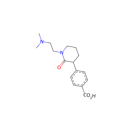 CN(C)CCN1CCCC(c2ccc(C(=O)O)cc2)C1=O